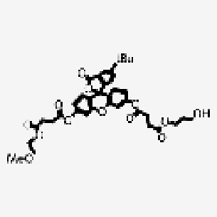 COCCOC(=O)CCC(=O)Oc1ccc2c(c1)Oc1cc(OC(=O)CCC(=O)OCCCO)ccc1C21OC(=O)c2cc(C(C)(C)C)ccc21